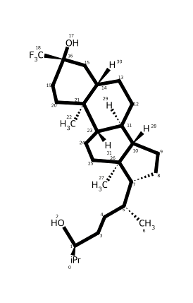 CC(C)[C@@H](O)CC[C@@H](C)[C@H]1CC[C@H]2[C@@H]3CC[C@H]4C[C@](O)(C(F)(F)F)CC[C@]4(C)[C@H]3CC[C@]12C